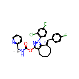 C[C@@H](NC(=O)Oc1nn(-c2ccc(Cl)cc2Cl)c2c1CCCCC/C2=C\c1ccc(F)cc1)c1ccccn1